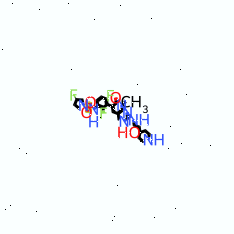 Cn1c(=O)c(-c2c(F)ccc(NS(=O)(=O)N3CC[C@@H](F)C3)c2F)cc2cnc(NCCC3(O)CCNCC3)nc21